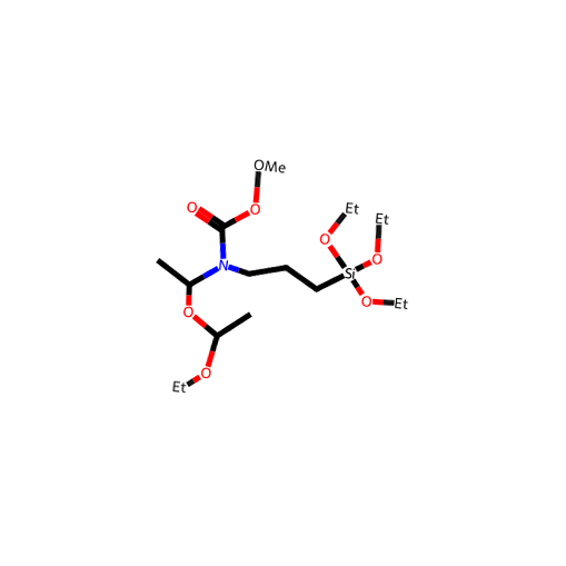 CCOC(C)OC(C)N(CCC[Si](OCC)(OCC)OCC)C(=O)OOC